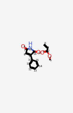 C=CC(=O)OC.O=C1C=C(c2ccccc2)C(=O)N1